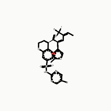 C=C(/C(=C\C(=C/C)C(F)(F)F)c1coc(C)n1)[C@@H]1CCOc2cc(S(=O)(=O)Nc3ncc(F)cn3)ccc21